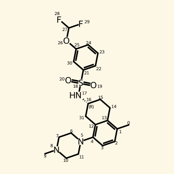 Cc1ccc(N2CCN(C)CC2)c2c1CC[C@@H](NS(=O)(=O)c1cccc(OC(F)F)c1)C2